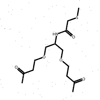 CSCC(=O)NC(COCCC(C)=O)COCCC(C)=O